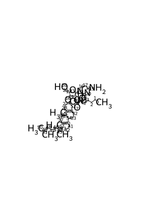 CCCCCNC(=O)OC1(O[C@H]2[C@@H](O)[C@H](n3ccc(N)nc3=O)O[C@@H]2CO)CC[C@@]2(C)C(=CCC3C2CC[C@@]2(C)C3CC[C@@H]2[C@H](C)CCCC(C)C)C1